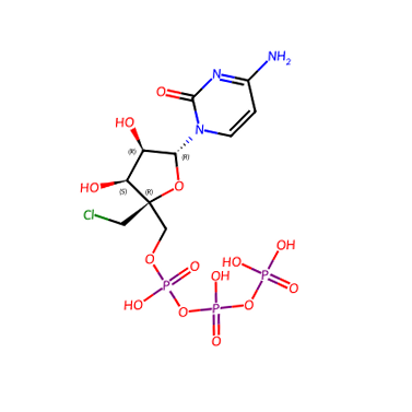 Nc1ccn([C@@H]2O[C@](CCl)(COP(=O)(O)OP(=O)(O)OP(=O)(O)O)[C@@H](O)[C@H]2O)c(=O)n1